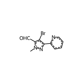 Cn1nc(-c2ccccn2)c(Br)c1C=O